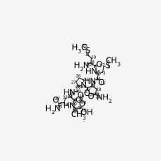 CSCC[C@H](NC(=O)[C@@H](N)CCSC)C(=O)N[C@@H](CC(N)=O)C(=O)N1CCC[C@H]1C(=O)N[C@@H](CCC(N)=O)C(=O)N[C@@H](C)C(=O)O